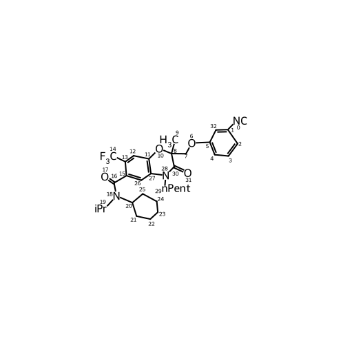 [C-]#[N+]c1cccc(OCC2(C)Oc3cc(C(F)(F)F)c(C(=O)N(C(C)C)C4CCCCC4)cc3N(CCCCC)C2=O)c1